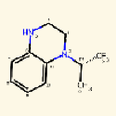 C[C@H](N1CCNc2ccccc21)C(F)(F)F